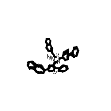 c1ccc(-c2ccc(C3=NC(c4ccc5ccccc5c4)NC(c4cc(-c5ccc6ccccc6c5)cc5oc6ccccc6c45)=N3)cc2)cc1